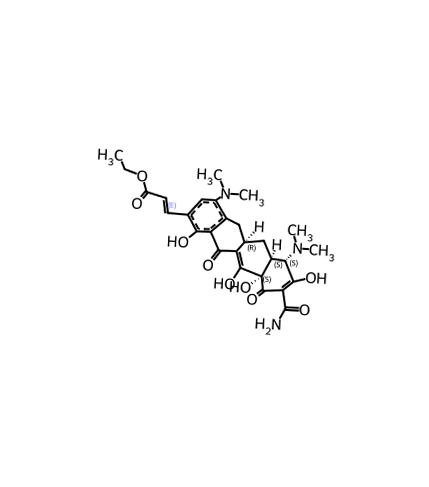 CCOC(=O)/C=C/c1cc(N(C)C)c2c(c1O)C(=O)C1=C(O)[C@]3(O)C(=O)C(C(N)=O)=C(O)[C@@H](N(C)C)[C@@H]3C[C@@H]1C2